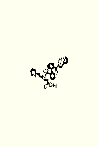 O=C(O)CCN(CCc1ccccn1)C(=O)c1ccccc1-c1ccccc1C(=O)NCc1cccs1